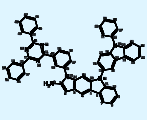 Nc1cc2cc3c4ccccc4n(-c4ccc5c(c4)c4ccccc4n5-c4ccccc4)c3cc2n1-c1cccc(-c2nc(-c3ccccc3)nc(-c3ccccc3)n2)c1